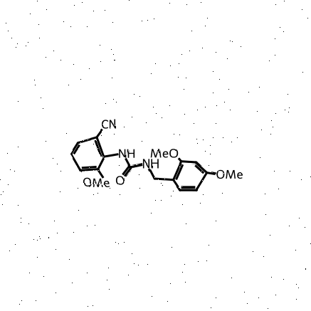 COc1ccc(CNC(=O)Nc2c(C#N)cccc2OC)c(OC)c1